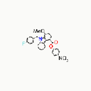 COc1ccc(C(=O)Oc2ccc([N+](=O)[O-])cc2)c2c3c(n(Cc4ccc(F)cc4)c12)CCCC3